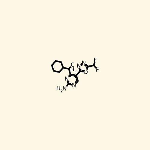 CC(c1nc(N)ncc1-c1nnc(C(F)F)o1)C1CCCCC1